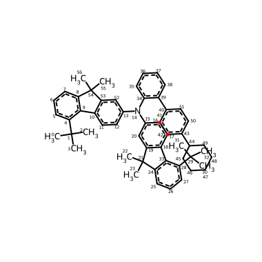 CC(C)(C)c1cccc2c1-c1ccc(N(c3ccc4c(c3)C(C)(C)c3cccc(C(C)(C)C)c3-4)c3ccccc3-c3ccc(C4CCCCC4)cc3)cc1C2(C)C